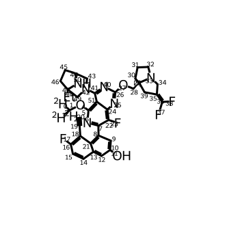 [2H]C([2H])([2H])Oc1nc(-c2cc(O)cc3ccc(F)c(C#C)c23)c(F)c2nc(OC[C@@]34CCCN3CC(=C(F)F)C4)nc(N3CC4CCC(CC)(C3)N4)c12